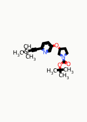 CC(C)(C)OC(=O)N1CCC(Oc2ccc(C#C[Si](C)(C)C)nc2)C1